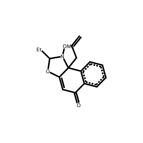 C=CCC12C(=CC(=O)c3ccccc31)OC(CC)N2OC